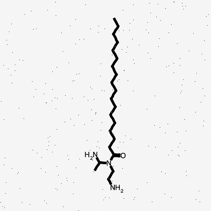 CCCCCCCCCCCCCCCCCC(=O)N(CCN)C(C)N